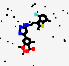 COc1cc(-c2cc(NCCc3c(C)sc4c(C)ccc(F)c34)ncn2)cc(C)c1C(=O)O